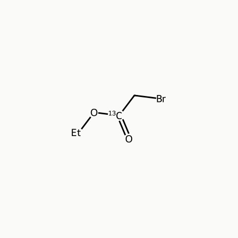 CCO[13C](=O)CBr